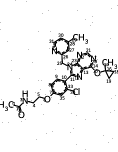 CC(=O)NCCOc1ccc(-c2nc3c(OC4(C)CC4)ncnc3n2Cc2cc(C)ccn2)c(Cl)c1